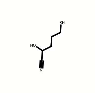 N#CC(O)CCCS